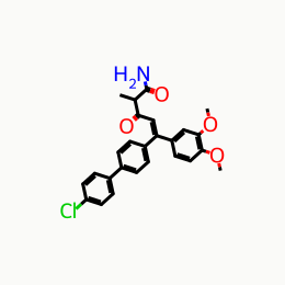 COc1ccc(C(=CC(=O)C(C)C(N)=O)c2ccc(-c3ccc(Cl)cc3)cc2)cc1OC